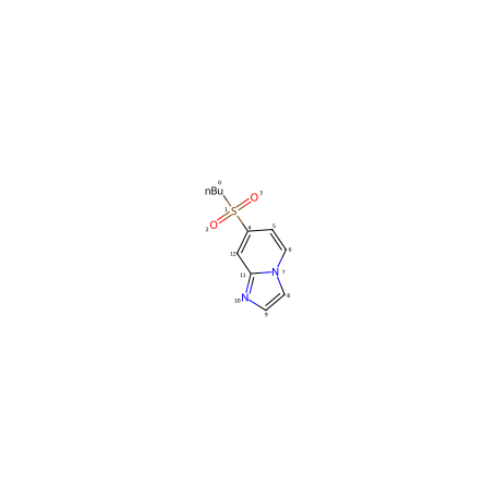 CCCCS(=O)(=O)c1ccn2ccnc2c1